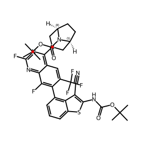 CC(C)(C)OC(=O)Nc1sc2cccc(-c3c(C(F)(F)F)cc4c(N5C[C@H]6CC[C@@H](C5)N6C(=O)OC(C)(C)C)nc(F)nc4c3F)c2c1C#N